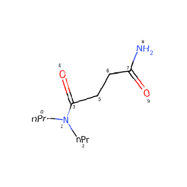 CCCN(CCC)C(=O)CCC(N)=O